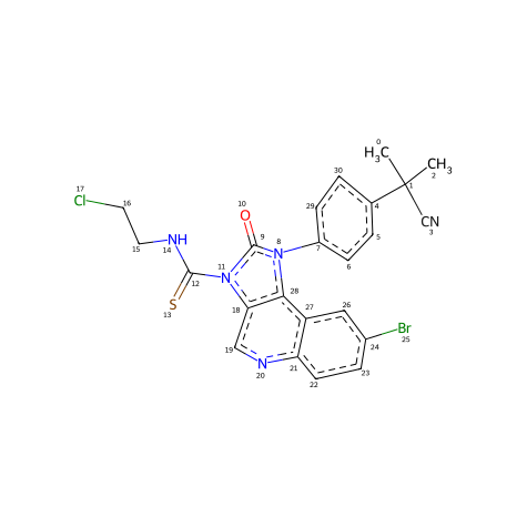 CC(C)(C#N)c1ccc(-n2c(=O)n(C(=S)NCCCl)c3cnc4ccc(Br)cc4c32)cc1